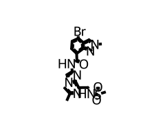 Cc1cn2cc(NC(=O)c3ccc(Br)c4cn(C)nc34)nc2c(CNS(C)(=O)=O)n1